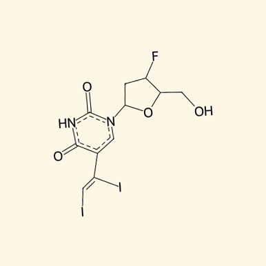 O=c1[nH]c(=O)n(C2CC(F)C(CO)O2)cc1C(I)=CI